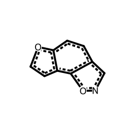 c1cc2c(ccc3cnoc32)o1